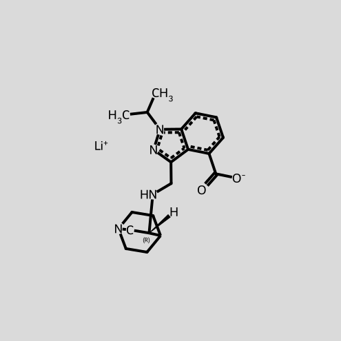 CC(C)n1nc(CN[C@H]2CN3CCC2CC3)c2c(C(=O)[O-])cccc21.[Li+]